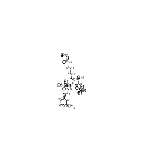 CC[Si](CC)(CC)OC(C=C[C@@H]1[C@@H](CC=CCCCC(=O)OC(C)C)[C@@H](O)C[C@H]1O[Si](CC)(CC)CC)COc1cccc(C(F)(F)F)c1